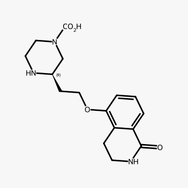 O=C1NCCc2c(OCC[C@@H]3CN(C(=O)O)CCN3)cccc21